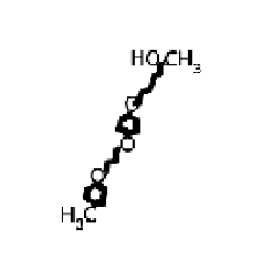 Cc1ccc(OCCCCOc2ccc(OCCCCCC(C)O)cc2)cc1